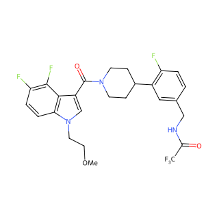 COCCn1cc(C(=O)N2CCC(c3cc(CNC(=O)C(F)(F)F)ccc3F)CC2)c2c(F)c(F)ccc21